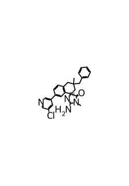 CN1C(=O)[C@]2(CC(C)(Cc3ccccc3)Cc3ccc(-c4cncc(Cl)c4)cc32)N=C1N